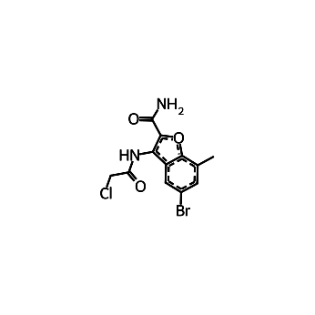 Cc1cc(Br)cc2c(NC(=O)CCl)c(C(N)=O)oc12